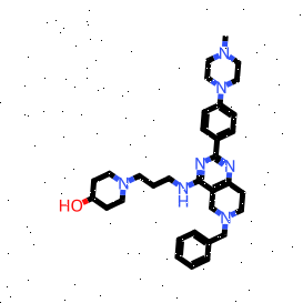 CN1CCN(c2ccc(-c3nc4c(c(NCCCN5CCC(O)CC5)n3)CN(Cc3ccccc3)CC4)cc2)CC1